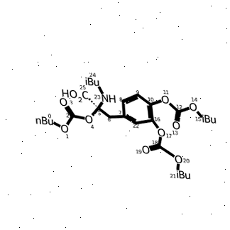 CCCCOC(=O)O[C@](Cc1ccc(OC(=O)OC(C)CC)c(OC(=O)OC(C)CC)c1)(NC(C)CC)C(=O)O